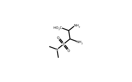 CN(C)S(=O)(=O)C(N)C(N)C(=O)O